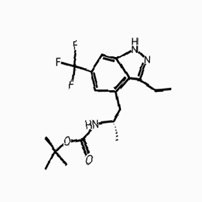 CCc1n[nH]c2cc(C(F)(F)F)cc(C[C@H](C)NC(=O)OC(C)(C)C)c12